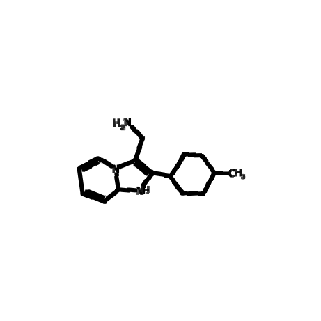 CC1CCC(C2=C(CN)N3C=CC=CC3N2)CC1